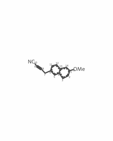 COc1ccc2cc(CC#CC#N)ccc2c1